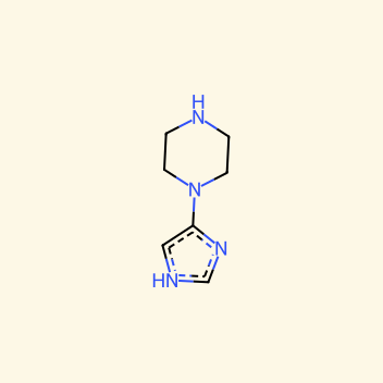 c1nc(N2CCNCC2)c[nH]1